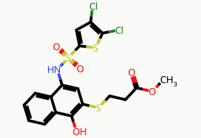 COC(=O)CCSc1cc(NS(=O)(=O)c2cc(Cl)c(Cl)s2)c2ccccc2c1O